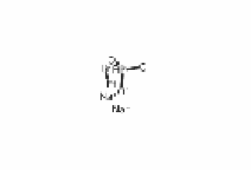 CCBr.O=[PH]([O-])[O-].[Na+].[Na+]